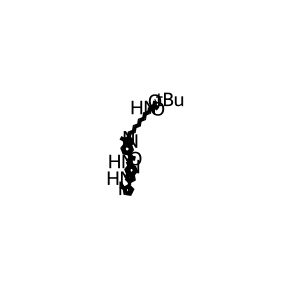 Cc1c2ccc(C(=O)Nc3cc4[nH]c([C@H]5CCCN5C)cc4cn3)cc2nn1CCCCCCCCNC(=O)OC(C)(C)C